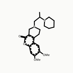 COc1cc2oc(=O)c3c(c2cc1OC)CCN(CC(C)N1CCCCC1)C3